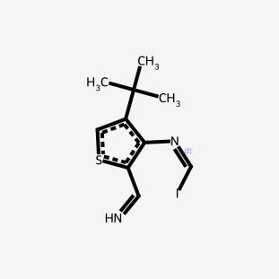 CC(C)(C)c1csc(C=N)c1/N=C\I